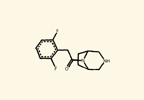 O=C(Cc1c(F)cccc1F)N1C2CCC1CNC2